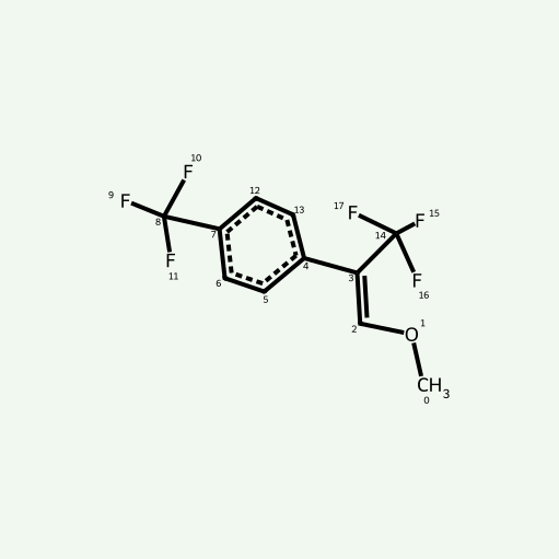 COC=C(c1ccc(C(F)(F)F)cc1)C(F)(F)F